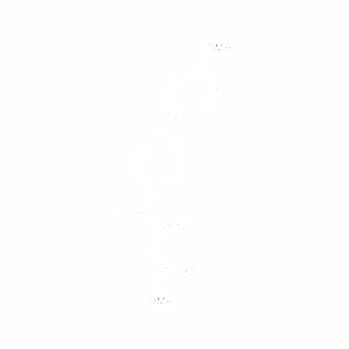 COC(=O)C[S+]([O-])C(C)c1ccc(-c2ccc(OC)cc2)cc1